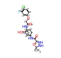 CC1NNC(C(=O)NC23CCC(NC(=O)COc4ccc(Cl)c(F)c4)(CC2)C(O)C3)O1